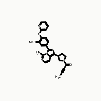 CC#CC(=O)N1CCC(c2nc(-c3ccc(Oc4ccccn4)c(OC)c3)n3c(N)nccc23)C1